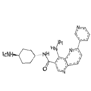 CC(=O)N[C@H]1CC[C@H](NC(=O)c2cnc3ccc(-c4cccnc4)nc3c2NC(C)C)CC1